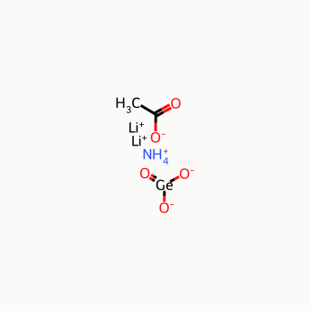 CC(=O)[O-].[Li+].[Li+].[NH4+].[O]=[Ge]([O-])[O-]